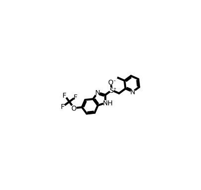 Cc1cccnc1C[S+]([O-])c1nc2cc(OC(F)(F)F)ccc2[nH]1